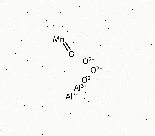 [Al+3].[Al+3].[O-2].[O-2].[O-2].[O]=[Mn]